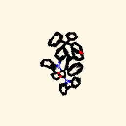 c1ccc(-c2ccccc2N2c3ccc(-n4c5ccccc5c5ccccc54)cc3C(c3ccccc3)(c3ccccc3)c3cc(C(c4ccccc4)(c4ccccc4)c4ccccc4)ccc32)cc1